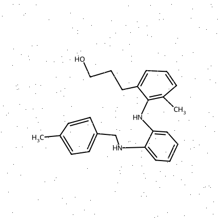 Cc1ccc(CNc2ccccc2Nc2c(C)cccc2CCCO)cc1